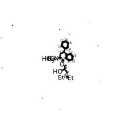 CCN(CC)CC(O)CON=C(N)CC(c1ccccc1)c1ccccc1.Cl.Cl